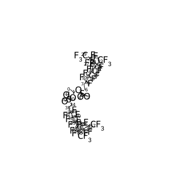 CC(OS(=O)(=O)CCC(F)(F)C(F)(F)C(F)(F)C(F)(F)C(F)(C(F)(F)F)C(F)(F)C(F)(F)C(F)(F)F)OS(=O)(=O)CCC(F)(F)C(F)(F)C(F)(F)C(F)(F)C(F)(C(F)(F)F)C(F)(F)C(F)(F)C(F)(F)F